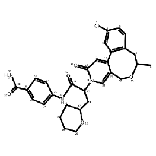 CC1Cc2ccc(Cl)cc2-c2cc(=O)n(C(CC3CCCCO3)C(=O)Nc3ccc(C(N)=O)cc3)cc2CO1